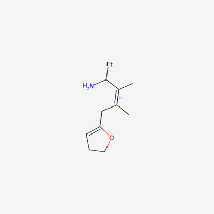 CCC(N)/C(C)=C(/C)CC1=CCCO1